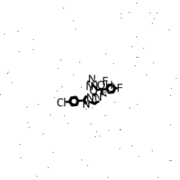 C[C@@H](n1ccc2nc(-c3ccc(Cl)cc3)cn2c1=O)C(O)(Cn1cncn1)c1ccc(F)cc1F